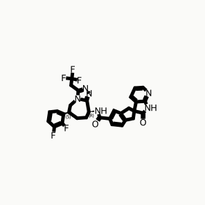 O=C(N[C@@H]1CC[C@@H](c2cccc(F)c2F)Cn2c(CC(F)(F)F)nnc21)c1ccc2c(c1)CC1(C2)C(=O)Nc2ncccc21